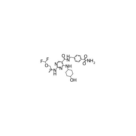 C[C@@H](COC(F)F)Nc1ncc(C(=O)NCc2ccc(S(N)(=O)=O)cc2)c(NC2CCC(O)CC2)n1